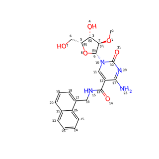 CO[C@@H]1[C@@H](O)[C@@H](CO)O[C@H]1n1cc(C(=O)NCc2cccc3ccccc23)c(N)nc1=O